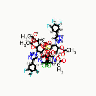 CC(=O)OC[C@@H]1O[C@](Oc2cncc(Cl)c2)([S+]([O-])C2(Oc3cncc(Cl)c3)O[C@H](COC(C)=O)[C@H](OC(C)=O)[C@H](n3cc(-c4cc(F)c(F)c(F)c4)nn3)[C@H]2OC(C)=O)[C@@H](OC(C)=O)[C@H](n2cc(-c3cc(F)c(F)c(F)c3)nn2)[C@@H]1OC(C)=O